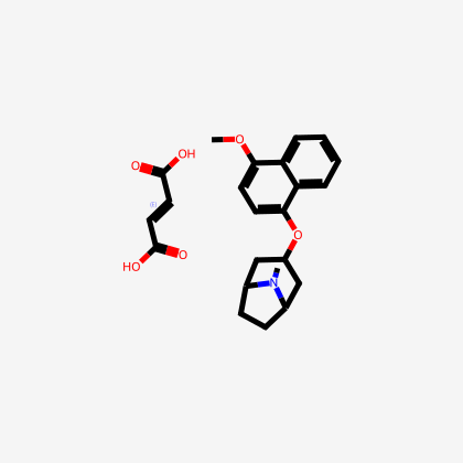 COc1ccc(OC2CC3CCC(C2)N3C)c2ccccc12.O=C(O)/C=C/C(=O)O